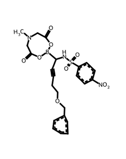 CN1CC(=O)OB(C(C#CCCOCc2ccccc2)NS(=O)(=O)c2ccc([N+](=O)[O-])cc2)OC(=O)C1